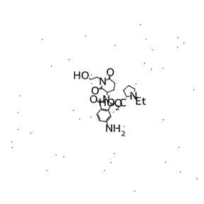 CCN1CCC[C@H]1C(=O)O.Nc1ccc2c(c1)C(=O)N(C1CCC(=O)N(CCO)C1=O)C2=O